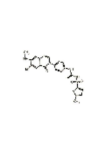 CNc1cc2ncn(-c3ccc(NC(=O)NS(=O)(=O)c4ccc(C)s4)cc3)c(=O)c2cc1Br